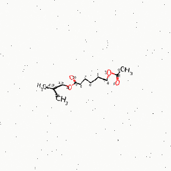 CC(=O)OCCCCCC(=O)OCC(C)C